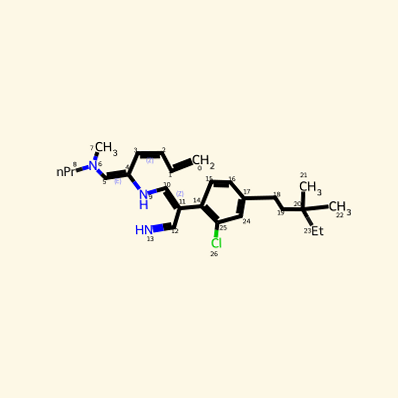 C=C/C=C\C(=C/N(C)CCC)N/C=C(\C=N)c1ccc(CCC(C)(C)CC)cc1Cl